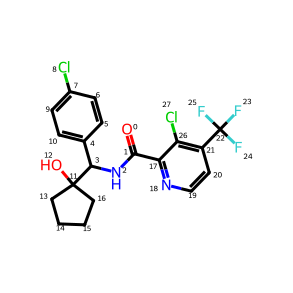 O=C(NC(c1ccc(Cl)cc1)C1(O)CCCC1)c1nccc(C(F)(F)F)c1Cl